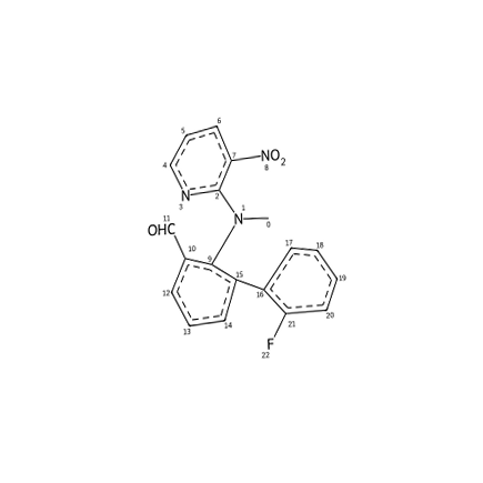 CN(c1ncccc1[N+](=O)[O-])c1c(C=O)cccc1-c1ccccc1F